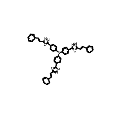 C(=C\c1nnc(-c2ccc(N(c3ccc(-c4nnc(/C=C/c5ccccc5)o4)cc3)c3ccc(-c4nnc(/C=C/c5ccccc5)o4)cc3)cc2)o1)/c1ccccc1